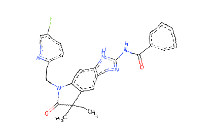 CC1(C)C(=O)N(Cc2ccc(F)cn2)c2cc3[nH]c(NC(=O)c4ccccc4)nc3cc21